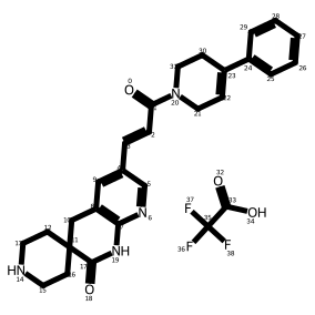 O=C(C=Cc1cnc2c(c1)CC1(CCNCC1)C(=O)N2)N1CC=C(c2ccccc2)CC1.O=C(O)C(F)(F)F